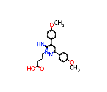 COc1ccc(-c2cc(-c3ccc(OC)cc3)c(=N)n(CCCC(=O)O)n2)cc1